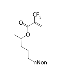 C=C(C(=O)OC(C)CCCCCCCCCCCC)C(F)(F)F